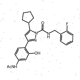 CC(=O)Nc1ccc(-c2cc(C3CCCC3)n(C(=O)NCc3ccccc3F)n2)c(O)c1